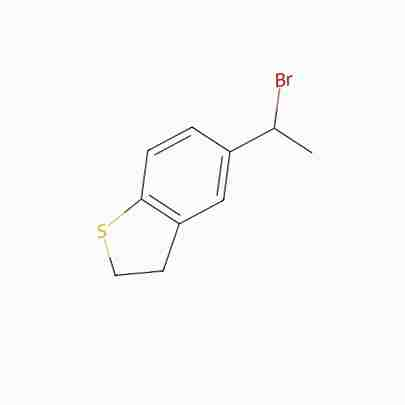 CC(Br)c1ccc2c(c1)CCS2